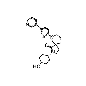 O=C1N([C@H]2CC[C@H](O)CC2)CCC12CCCN(c1ccc(-c3cccnc3)cn1)C2